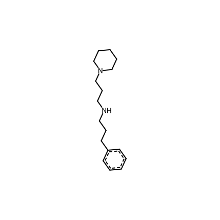 c1ccc(CCCNCCCN2CCCCC2)cc1